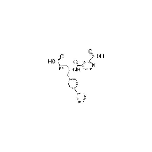 C[C@H](CC(Cc1ccc(-c2ccccc2)cc1)NC(=O)c1ccnc(C(=O)O)c1)C(=O)O